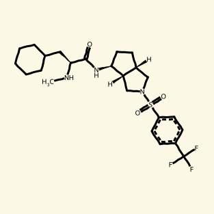 CN[C@@H](CC1CCCCC1)C(=O)N[C@H]1CC[C@@H]2CN(S(=O)(=O)c3ccc(C(F)(F)F)cc3)C[C@@H]21